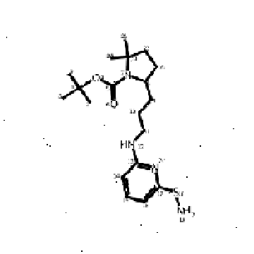 CC(C)(C)OC(=O)N1C(CCCNc2cccc(SN)n2)CCC1(C)C